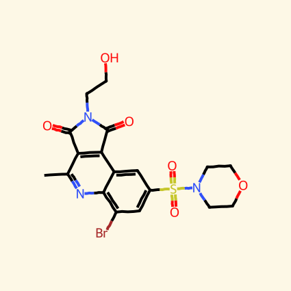 Cc1nc2c(Br)cc(S(=O)(=O)N3CCOCC3)cc2c2c1C(=O)N(CCO)C2=O